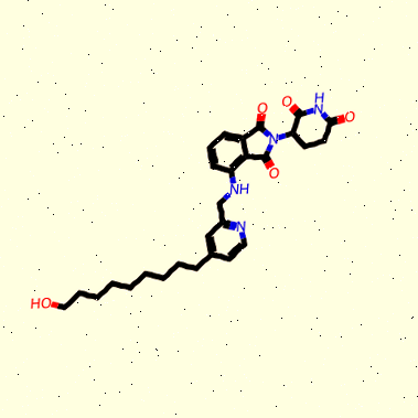 O=C1CCC(N2C(=O)c3cccc(NCc4cc(CCCCCCCCCO)ccn4)c3C2=O)C(=O)N1